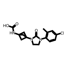 Cc1cc(Cl)ccc1N1CCN(C23CC(NC(=O)O)(C2)C3)C1=O